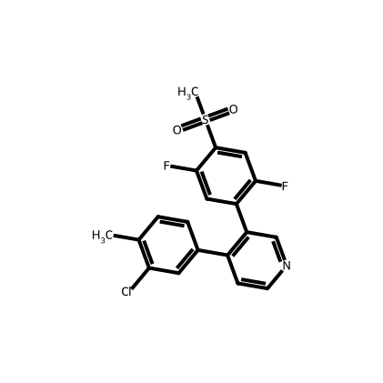 Cc1ccc(-c2ccncc2-c2cc(F)c(S(C)(=O)=O)cc2F)cc1Cl